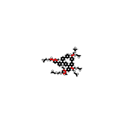 c1cc(-c2ccc(OCCOCC3CO3)c(C(c3ccc(C(c4cc(-c5ccc(OCCOCC6CO6)cc5)ccc4OCCOCC4CO4)c4cc(-c5ccc(OCCOC6COC6)cc5)ccc4OCCOCC4CO4)cc3)c3cc(-c4ccc(OCCOCC5CO5)cc4)ccc3OCCOCC3CO3)c2)ccc1OCCOCC1CO1